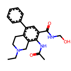 CCN1CCc2c(-c3ccccc3)cc(C(=O)NCO)c(NC(C)=O)c2C1